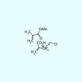 C=C(C)C(=O)O.C=C(C)C(=O)OC.C=CCl